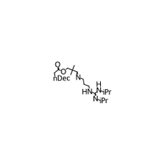 CCCCCCCCCCCC(=O)OCC(C)(C)C=NCCCNC(=NC(C)C)NC(C)C